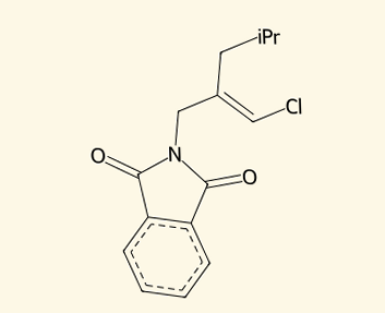 CC(C)CC(=CCl)CN1C(=O)c2ccccc2C1=O